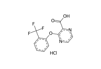 Cl.O=C(O)c1nccnc1Oc1ccccc1C(F)(F)F